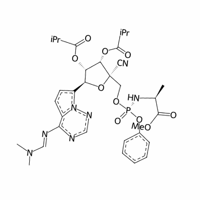 COC(=O)[C@H](C)N[P@](=O)(OC[C@@]1(C#N)O[C@@H](c2ccc3c(/N=C/N(C)C)ncnn23)[C@H](OC(=O)C(C)C)[C@@H]1OC(=O)C(C)C)Oc1ccccc1